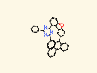 CN1C(c2ccccc2)=NC(c2ccccc2)=NC1c1cccc2oc3ccc(-c4cc5ccccc5c5ccccc45)cc3c12